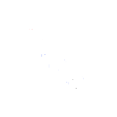 NC(=O)[C@@H]1[C@H]2CC[C@H](C2)N1CC1CC(n2cc(-c3cccc(OCC45CCC(CC4)O5)c3)c3c(N)ncnc32)C1